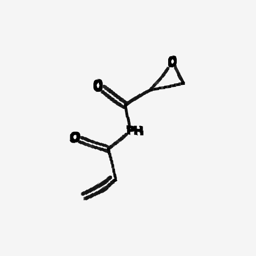 C=CC(=O)PC(=O)C1CO1